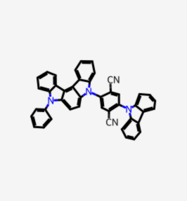 N#Cc1cc(-n2c3ccccc3c3c4c5ccccc5n(-c5ccccc5)c4ccc32)c(C#N)cc1-n1c2ccccc2c2ccccc21